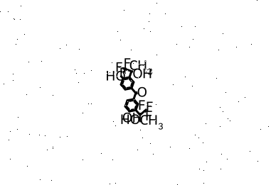 CC(O)(c1cc(C(=O)c2ccc(O)c(C(C)(O)C(F)(F)F)c2)ccc1O)C(F)(F)F